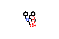 OCCCN(Cc1ccccc1)C(Cc1ccccc1)C1COCCO1